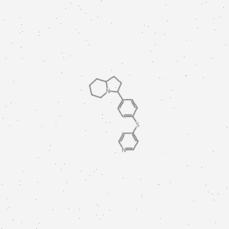 c1cc(Sc2ccc(C3CCC4CCCCN43)cc2)ccn1